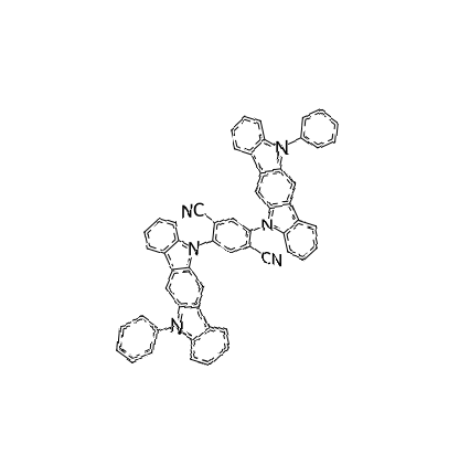 N#Cc1cc(-n2c3ccccc3c3cc4c(cc32)c2ccccc2n4-c2ccccc2)c(C#N)cc1-n1c2ccccc2c2cc3c(cc21)c1ccccc1n3-c1ccccc1